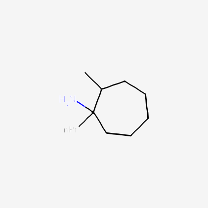 CCCC1(N)CCCCCC1C